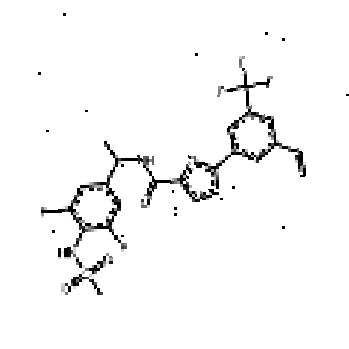 C=Cc1cc(-c2ccc(C(=O)NC(C)c3cc(F)c(NS(C)(=O)=O)c(F)c3)o2)cc(C(F)(F)F)c1